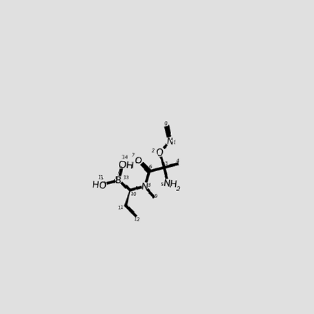 C=NOC(C)(N)C(=O)N(C)[C@@H](CC)B(O)O